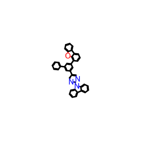 c1ccc(-c2cc(-c3cnc(-n4c5ccccc5c5ccccc54)nc3)cc(-c3cccc4c3oc3ccccc34)c2)cc1